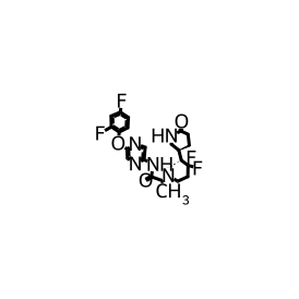 C[C@@H](C(=O)Nc1cnc(Oc2ccc(F)cc2F)cn1)N1CCC(F)(F)[C@@H]([C@@H]2CCC(=O)NC2)C1